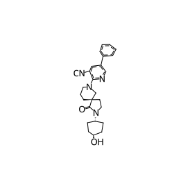 [C-]#[N+]c1cc(-c2ccccc2)cnc1N1CCC[C@]2(CCN([C@H]3CC[C@H](O)CC3)C2=O)C1